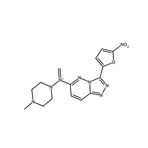 C=[N+](c1ccc2nnc(-c3ccc([N+](=O)[O-])o3)n2n1)N1CCN(C)CC1